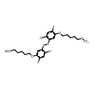 CSCCCCCOc1cc(SSc2cc(OCCCCCSC(F)(F)F)c(F)cc2Cl)c(Cl)cc1F